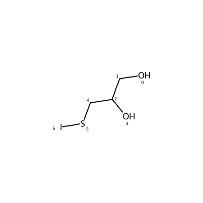 OCC(O)CSI